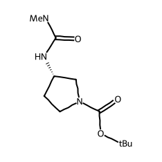 CNC(=O)N[C@H]1CCN(C(=O)OC(C)(C)C)C1